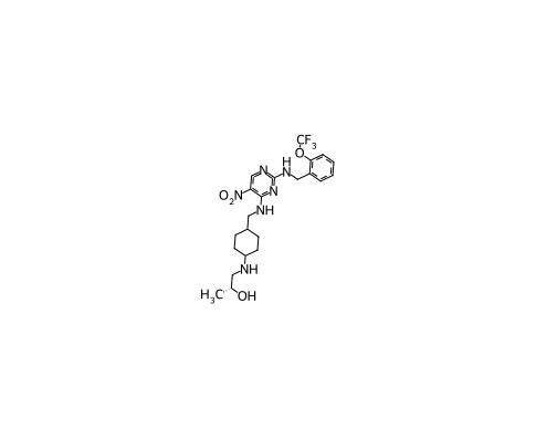 C[C@@H](O)CNC1CCC(CNc2nc(NCc3ccccc3OC(F)(F)F)ncc2[N+](=O)[O-])CC1